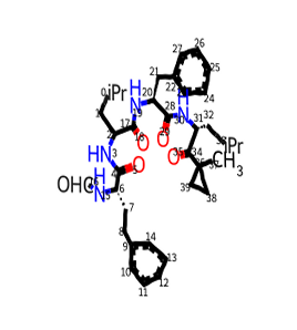 CC(C)CC(NC(=O)[C@H](CCc1ccccc1)NC=O)C(=O)N[C@@H](Cc1ccccc1)C(=O)N[C@H](CC(C)C)C(=O)C1(C)CC1